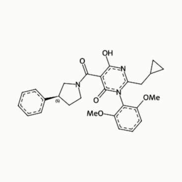 COc1cccc(OC)c1-n1c(CC2CC2)nc(O)c(C(=O)N2CC[C@@H](c3ccccc3)C2)c1=O